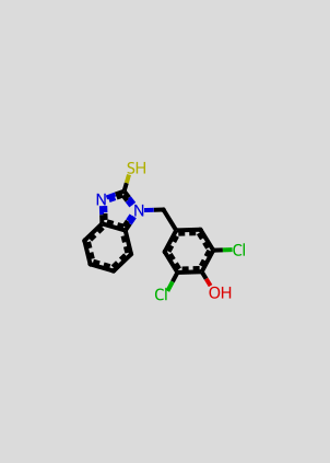 Oc1c(Cl)cc(Cn2c(S)nc3ccccc32)cc1Cl